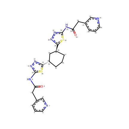 O=C(Cc1cccnc1)Nc1nnc([C@H]2CCC[C@H](c3nnc(NC(=O)Cc4cccnc4)s3)C2)s1